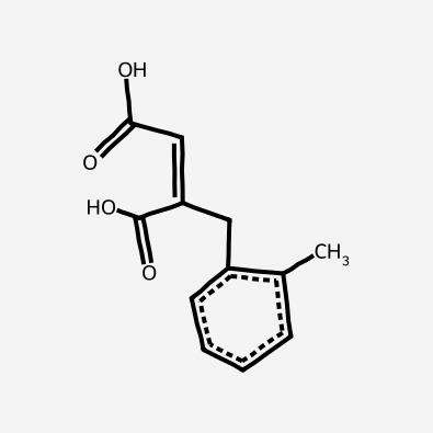 Cc1ccccc1C/C(=C/C(=O)O)C(=O)O